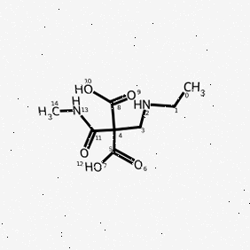 CCNCC(C(=O)O)(C(=O)O)C(=O)NC